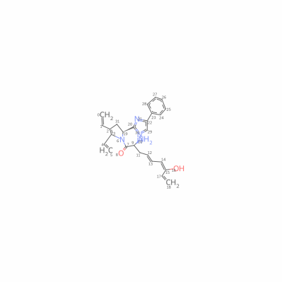 C=CC1=C(C=C)N(C(=O)[C@@H](N)C/C=C/C=C(/O)C=C)[C@H](c2nc(-c3ccccc3)c[nH]2)C1